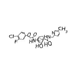 Cc1ccc(CNC(=O)C23CCC(NC(=O)COc4ccc(Cl)c(F)c4)(CC2)C[C@@H]3O)nc1